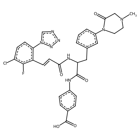 CN1CCN(c2cccc(CC(NC(=O)C=Cc3c(-n4cnnn4)ccc(Cl)c3F)C(=O)Nc3ccc(C(=O)O)cc3)c2)C(=O)C1